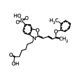 C=C(/C=C/C=C1\Oc2cc(S(=O)(=O)O)ccc2N1CCCCCC(=O)O)Oc1ccccc1C